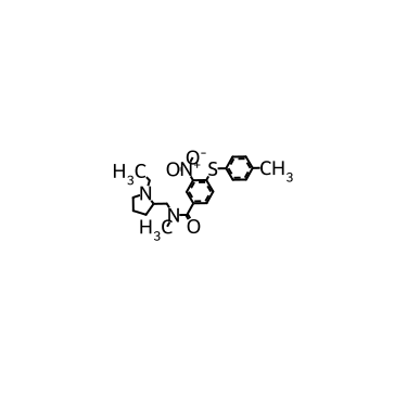 CCN1CCCC1CN(C)C(=O)c1ccc(Sc2ccc(C)cc2)c([N+](=O)[O-])c1